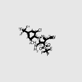 Cc1cc(C(F)(F)F)cc(Cl)c1-n1nc(C#N)c(S(=O)(=O)C(F)(F)F)c1N